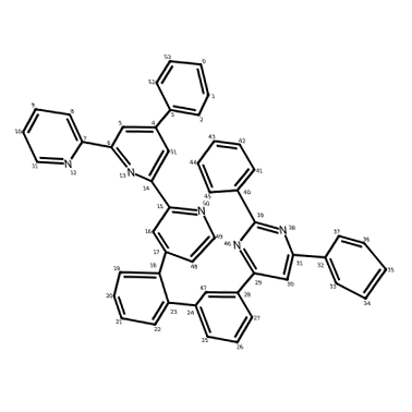 c1ccc(-c2cc(-c3ccccn3)nc(-c3cc(-c4ccccc4-c4cccc(-c5cc(-c6ccccc6)nc(-c6ccccc6)n5)c4)ccn3)c2)cc1